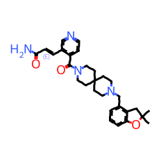 CC1(C)Cc2c(CN3CCC4(CC3)CCN(C(=O)c3ccncc3/C=C/C(N)=O)CC4)cccc2O1